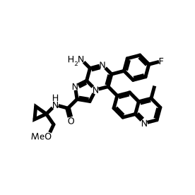 COCC1(NC(=O)c2cn3c(-c4ccc5nccc(C)c5c4)c(-c4ccc(F)cc4)nc(N)c3n2)CC1